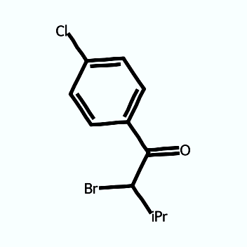 CC(C)C(Br)C(=O)c1ccc(Cl)cc1